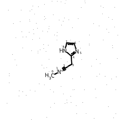 C[N+]#CCc1ncc[nH]1